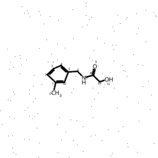 Cc1cccc(CNC(=O)CO)c1